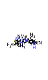 CNc1nc(NC2CCN(Cc3ccc4[nH]c(C#N)cc4c3C)CC2)c2c(C)c(CC(F)(F)F)sc2n1